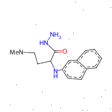 CNCCC(Nc1ccc2ccccc2c1)C(=O)NN